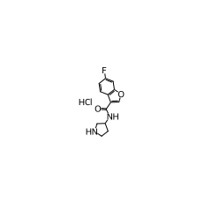 Cl.O=C(NC1CCNC1)c1coc2cc(F)ccc12